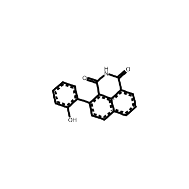 O=C1NC(=O)c2c(-c3ccccc3O)ccc3cccc1c23